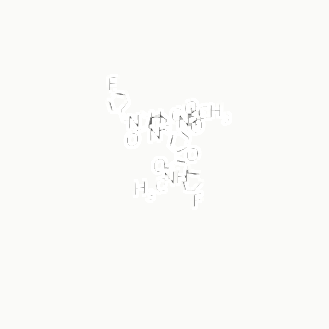 CNC(=O)c1c(-c2ccc(F)cc2)oc2cc(N(C)S(C)(=O)=O)c(-c3ccc4c(n3)C(=O)N(Cc3ccc(F)cc3)C4)cc12